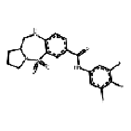 O=C(Nc1cc(F)c(F)c(F)c1)c1ccc2c(c1)S(=O)(=O)N1CCCC1CN2